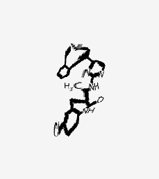 CC(Nc1nccc(-c2cncc3ccccc23)n1)c1cc2cc(Cl)ccc2[nH]c1=O